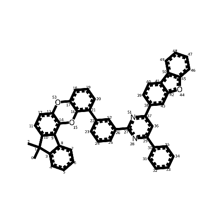 CC1(C)c2ccccc2-c2c1ccc1c2Oc2c(cccc2-c2cccc(-c3nc(-c4ccccc4)cc(-c4ccc5c(c4)oc4ccccc45)n3)c2)O1